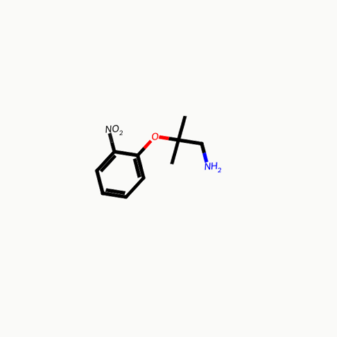 CC(C)(CN)Oc1ccccc1[N+](=O)[O-]